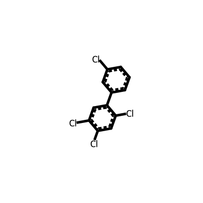 Clc1cccc(-c2cc(Cl)c(Cl)cc2Cl)c1